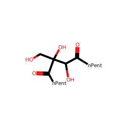 CCCCCC(=O)C(O)C(O)(CO)C(=O)CCCCC